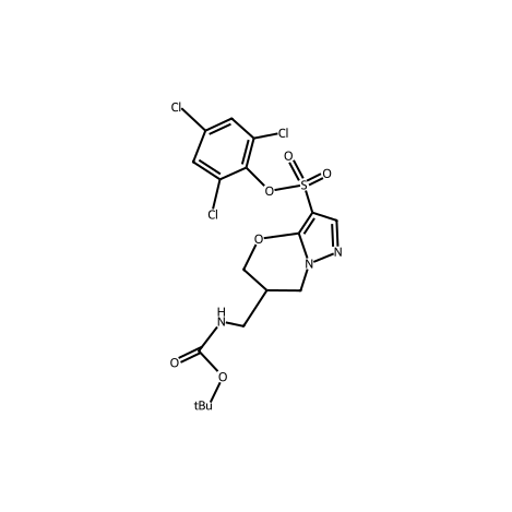 CC(C)(C)OC(=O)NCC1COc2c(S(=O)(=O)Oc3c(Cl)cc(Cl)cc3Cl)cnn2C1